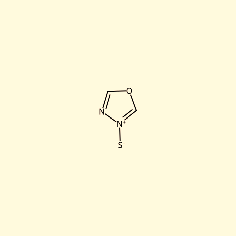 [S-][n+]1cocn1